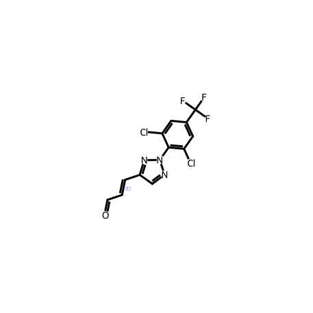 O=C/C=C/c1cnn(-c2c(Cl)cc(C(F)(F)F)cc2Cl)n1